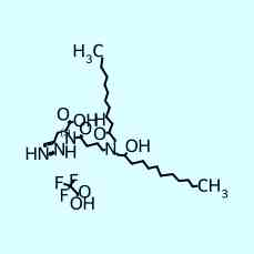 CCCCCCCCCCC(O)CN(CCCC(=O)N[C@@H](Cc1c[nH]cn1)C(=O)O)CC(O)CCCCCCCCCC.O=C(O)C(F)(F)F